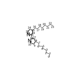 CCCCCCCCc1ccnc(-c2cc(CCCCCCCC)ccn2)c1